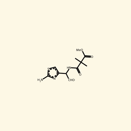 COC(=O)C(C)(C)C(=O)NC([C]=O)c1csc(N)n1